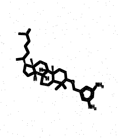 CC(C)CCCC(C)[C@H]1CC[C@H]2[C@@H]3CCC4C(C)(C)C(OCc5cc(N)cc(N)c5)CC[C@]4(C)[C@H]3CC[C@]12C